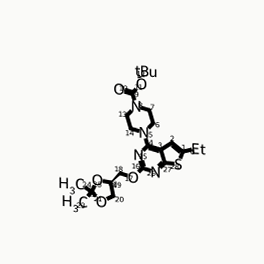 CCc1cc2c(N3CCN(C(=O)OC(C)(C)C)CC3)nc(OC[C@H]3COC(C)(C)O3)nc2s1